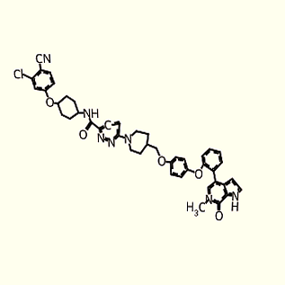 Cn1cc(-c2ccccc2Oc2ccc(OCC3CCN(c4ccc(C(=O)NC5CCC(Oc6ccc(C#N)c(Cl)c6)CC5)nn4)CC3)cc2)c2cc[nH]c2c1=O